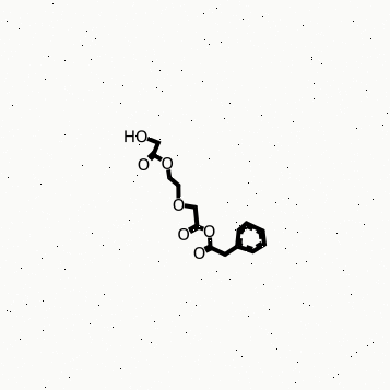 O=C(CO)OCCOCC(=O)OC(=O)Cc1ccccc1